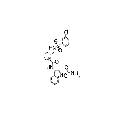 NC(=O)On1cc(NC(=O)N2CCC[C@H]2CNS(=O)(=O)c2cccc(Cl)c2)c2ccccc21